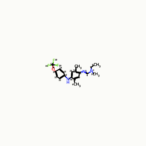 CCN(C)C=Nc1cc(C)c(Nc2ccc(OC(F)(F)F)cc2)cc1C